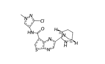 Cn1cc(NC(=O)c2csc3ncc(N4C[C@@H]5CC[C@H]4CN5)nc23)c(Cl)n1